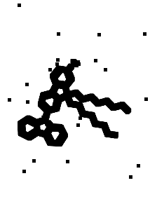 CCCCCCCCC1(CCCCCCCC)c2cc(Br)ccc2-c2ccc(-n3c4ccccc4c4ccccc43)cc21